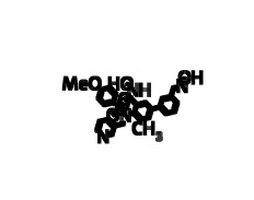 COc1ccc(S(=O)(=O)N(Cc2cccnc2)c2c(C)cc(-c3cccc(C=NO)c3)cc2C(=O)NO)cc1